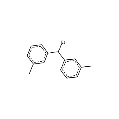 CC[C](c1cccc(C)c1)c1cccc(C)c1